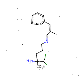 CC(C=NCCCC(N)(C(=O)O)C(F)F)=Cc1ccccc1